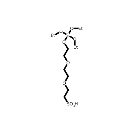 CCO[Si](OCC)(OCC)OCCOCCOCCS(=O)(=O)O